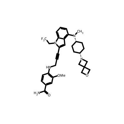 COc1cc(C(N)=O)ccc1NCC#Cc1cc2c(N(C)[C@H]3CC[C@@H](N4CC5(COC5)C4)CC3)cccc2n1CC(F)(F)F